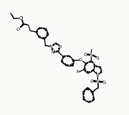 CCOC(=O)CCc1cccc(Cn2cnc(-c3cccc(Oc4c(F)cc5c(ccn5S(=O)(=O)Cc5ccccc5)c4S(C)(=O)=O)c3)n2)c1